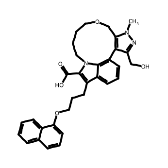 Cn1nc(CO)c2c1COCCCCn1c(C(=O)O)c(CCCOc3cccc4ccccc34)c3cccc-2c31